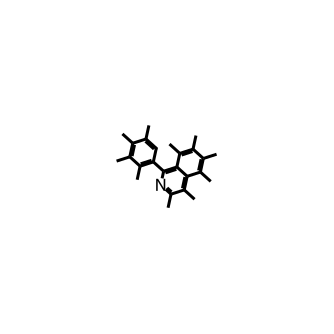 Cc1cc(-c2nc(C)c(C)c3c(C)c(C)c(C)c(C)c23)c(C)c(C)c1C